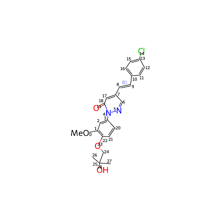 COc1cc(-n2ncc(/C=C/c3ccc(Cl)cc3)cc2=O)ccc1OCC(C)(C)O